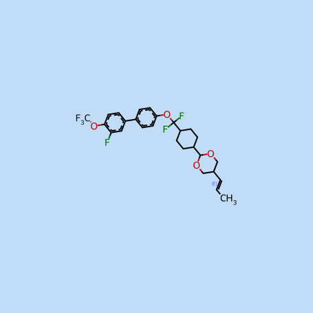 C/C=C/C1COC(C2CCC(C(F)(F)Oc3ccc(-c4ccc(OC(F)(F)F)c(F)c4)cc3)CC2)OC1